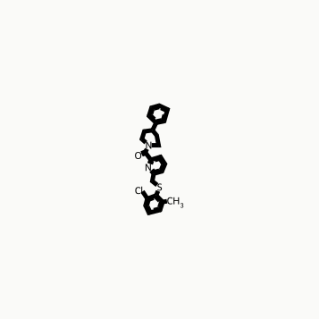 Cc1cccc(Cl)c1SCc1cccc(C(=O)N2CCC(c3ccccc3)CC2)n1